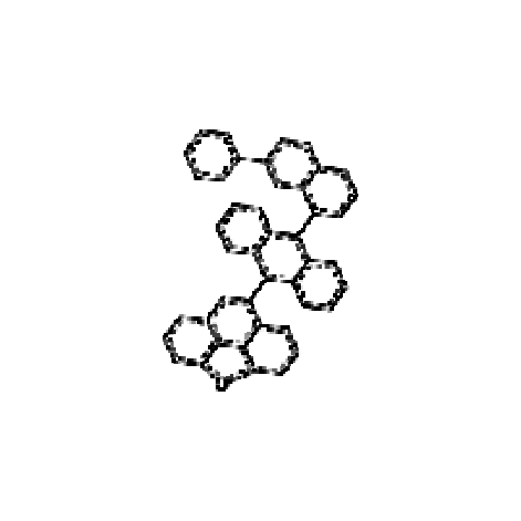 c1ccc(-c2ccc3cccc(-c4c5ccccc5c(-c5cc6cccc7oc8cccc5c8c67)c5ccccc45)c3c2)cc1